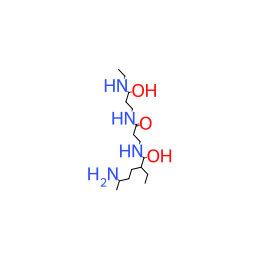 CCNC(O)CCNC(=O)CCNC(O)C(CC)CCC(C)N